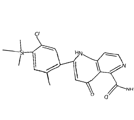 Cc1cc([Si](C)(C)C)c(Cl)cc1-c1cc(=O)c2c(C(N)=O)nccc2[nH]1